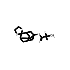 CC(F)(F)C(=O)OC12CC3CC(C1)C1(SCCS1)C(C3)C2